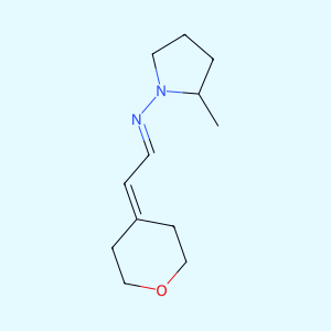 CC1CCCN1/N=C/C=C1CCOCC1